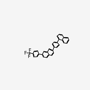 FC(F)(F)c1ccc(-c2ccc3ccc(-c4ccc(-c5cccc6ccccc56)cc4)cc3c2)cc1